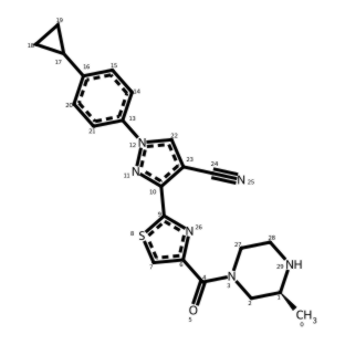 C[C@H]1CN(C(=O)c2csc(-c3nn(-c4ccc(C5CC5)cc4)cc3C#N)n2)CCN1